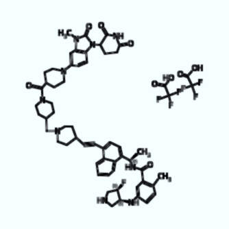 Cc1ccc(N[C@H]2CNC[C@H]2F)cc1C(=O)N[C@H](C)c1ccc(C#CC2CCN(CC3CCN(C(=O)C4CCN(c5ccc6c(c5)n(C)c(=O)n6C5CCC(=O)NC5=O)CC4)CC3)CC2)c2ccccc12.O=C(O)C(F)(F)F.O=C(O)C(F)(F)F